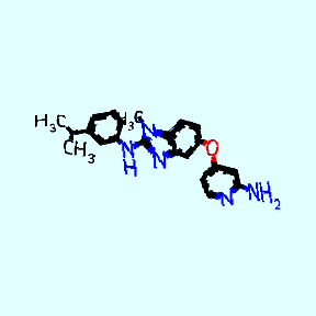 CC(C)c1cccc(Nc2nc3cc(Oc4ccnc(N)c4)ccc3n2C)c1